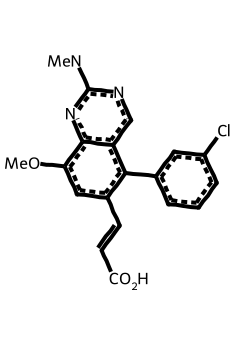 CNc1ncc2c(-c3cccc(Cl)c3)c(C=CC(=O)O)cc(OC)c2n1